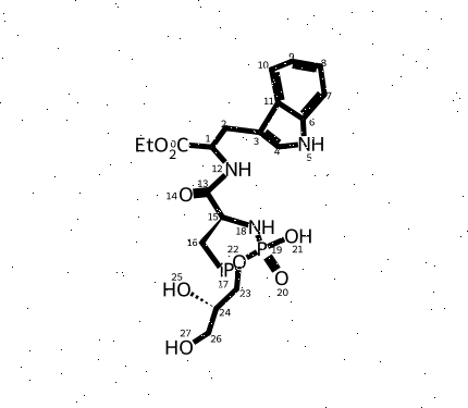 CCOC(=O)C(Cc1c[nH]c2ccccc12)NC(=O)[C@H](CC(C)C)NP(=O)(O)OC[C@@H](O)CO